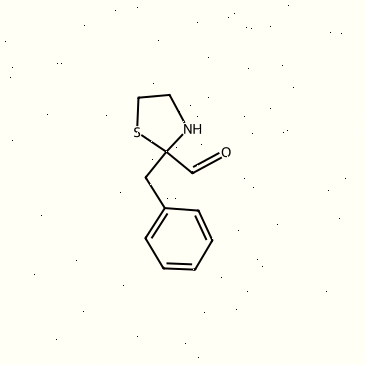 O=CC1(Cc2ccccc2)NCCS1